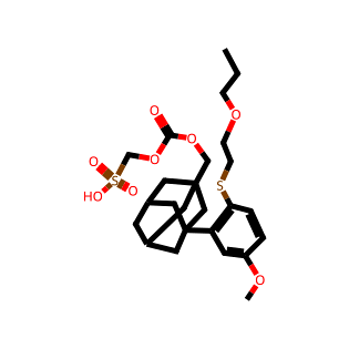 CCCOCCSc1ccc(OC)cc1C12CC3CC(CC(COC(=O)OCS(=O)(=O)O)(C3)C1)C2